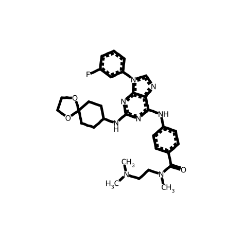 CN(C)CCN(C)C(=O)c1ccc(Nc2nc(NC3CCC4(CC3)OCCO4)nc3c2ncn3-c2cccc(F)c2)cc1